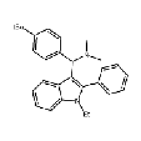 CCn1c(-c2ccccc2)c(C(c2ccc(C(C)(C)C)cc2)N(C)C)c2ccccc21